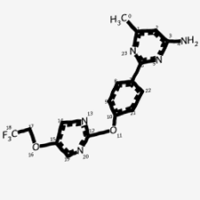 Cc1cc(N)nc(-c2ccc(Oc3ncc(OCC(F)(F)F)cn3)cc2)n1